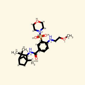 COCCNc1ccc(C(=O)NC2C3(C)CCC(C3)C2(C)C)cc1S(=O)(=O)N1CCOCC1